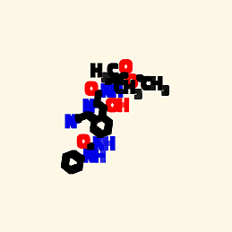 CCOC(=O)C(C)(C)CNC(=O)c1nc(C#N)c2cc(NC(=O)Nc3ccccc3)ccc2c1O